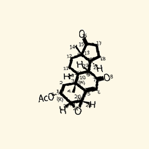 CC(=O)O[C@@H]1C[C@@]2(C)C(=CC(=O)[C@@H]3[C@@H]2CC[C@]2(C)C(=O)CC[C@@H]32)[C@@H]2O[C@H]12